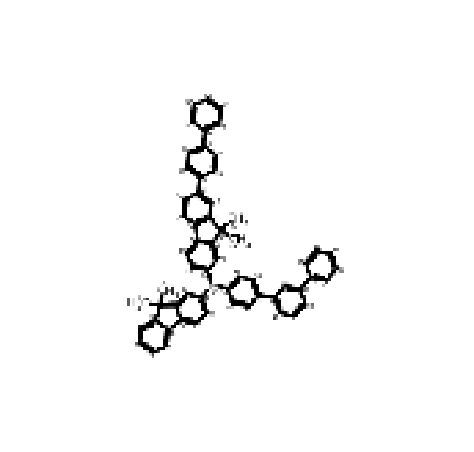 CC1(C)c2ccccc2-c2ccc(N(c3ccc(-c4cccc(-c5ccccc5)c4)cc3)c3ccc4c(c3)C(C)(C)c3cc(-c5ccc(-c6ccccc6)cc5)ccc3-4)cc21